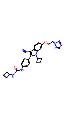 N#Cc1c(-c2ccc(NC(=O)NC3CCC3)cc2)n(C2CCC2)c2cc(OCCn3cncn3)ccc12